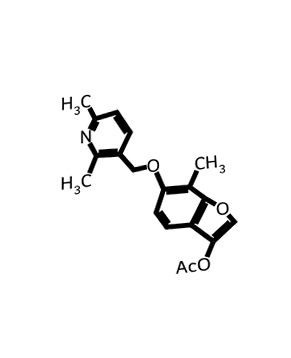 CC(=O)Oc1coc2c(C)c(OCc3ccc(C)nc3C)ccc12